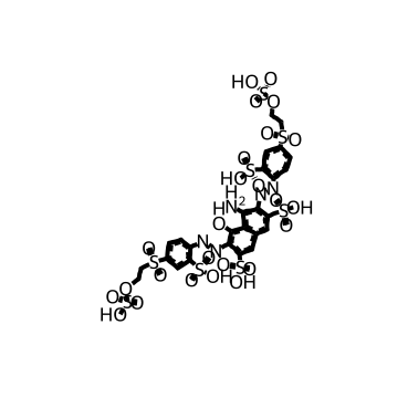 Nc1c(N=Nc2ccc(S(=O)(=O)CCOS(=O)(=O)O)cc2S(=O)(=O)O)c(S(=O)(=O)O)cc2cc(S(=O)(=O)O)c(N=Nc3ccc(S(=O)(=O)CCOS(=O)(=O)O)cc3S(=O)(=O)O)c(O)c12